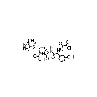 Cn1nnnc1SCC1=C(C(=O)O)N2C(=O)C(NC(=O)C(=NOC(=O)C(Cl)Cl)c3cccc(O)c3)[C@@H]2SC1